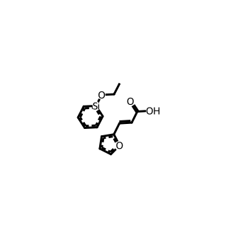 CCO[si]1ccccc1.O=C(O)C=Cc1ccco1